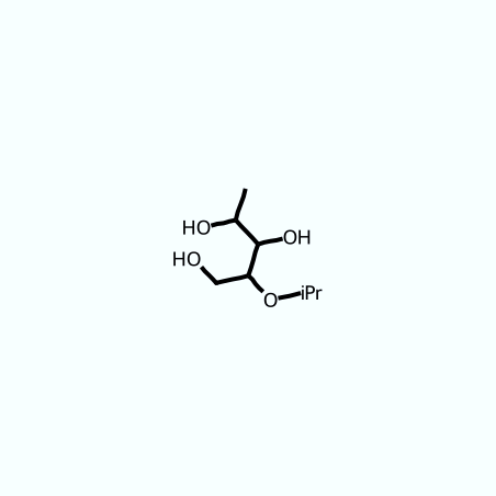 CC(C)OC(CO)C(O)C(C)O